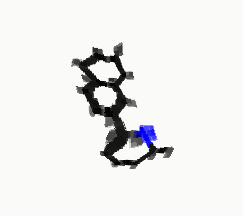 CC1C=CC=C(c2ccc3c(c2)CCCC3)N1